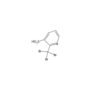 O=S(=O)(O)c1cccnc1C(Br)(Br)Br